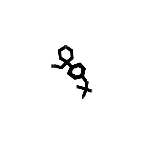 OCC1(c2ccc(OC(F)(F)F)cc2)CCOCC1